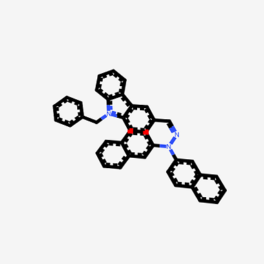 C(=N/N(c1ccc2ccccc2c1)c1ccc2ccccc2c1)/c1ccc2c(c1)c1ccccc1n2Cc1ccccc1